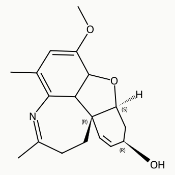 COC1=CC(C)=C2N=C(C)CC[C@]34C=C[C@H](O)C[C@@H]3OC1C24